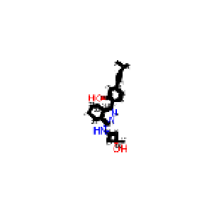 CC(C)C#Cc1ccc(-c2nnc(NC3CC(C)(O)C3)c3c2CCCC3)c(O)c1